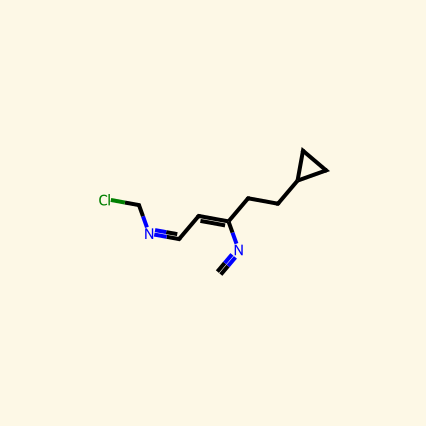 C=N/C(=C\C=N/CCl)CCC1CC1